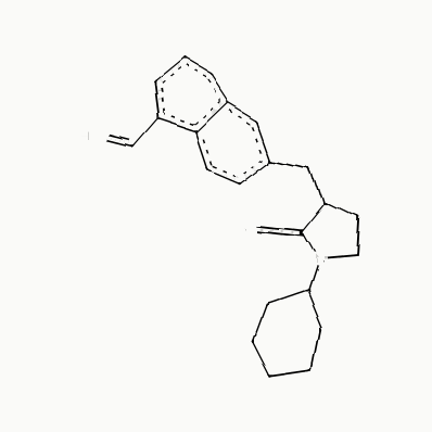 C=Cc1cccc2cc(CC3CCN(C4CCCCC4)C3=O)ccc12